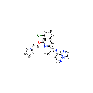 C[C@H](Nc1ccnn2ccnc12)c1cc2cccc(Cl)c2c(OCCN2CCCC2)n1